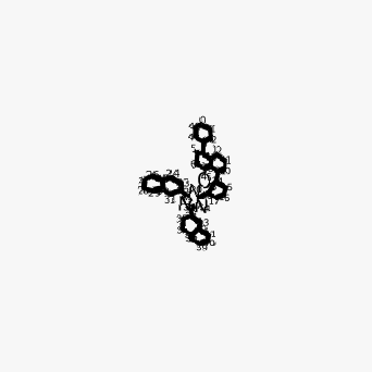 c1ccc(-c2ccc3c4c(cccc24)-c2cccc(-c4nc(-c5ccc6ccccc6c5)nc(-c5ccc6ccccc6c5)n4)c2O3)cc1